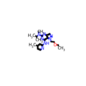 CCOCCn1ncc2nc(N(C)C(C)C)nc(Nc3cc(C)ccn3)c21